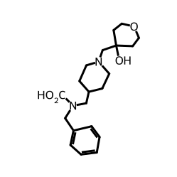 O=C(O)N(Cc1ccccc1)CC1CCN(CC2(O)CCOCC2)CC1